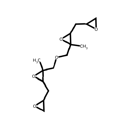 CC1(COCC2(C)OC2CC2CO2)OC1CC1CO1